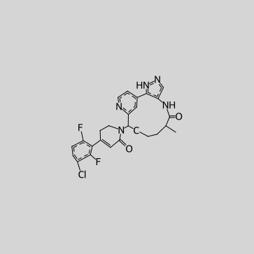 CC1CCCC(N2CCC(c3c(F)ccc(Cl)c3F)=CC2=O)c2cc(ccn2)-c2[nH]ncc2NC1=O